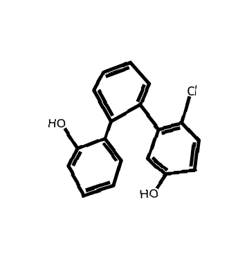 Oc1ccc(Cl)c(-c2ccccc2-c2ccccc2O)c1